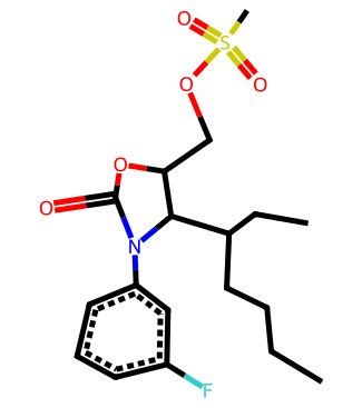 CCCCC(CC)C1C(COS(C)(=O)=O)OC(=O)N1c1cccc(F)c1